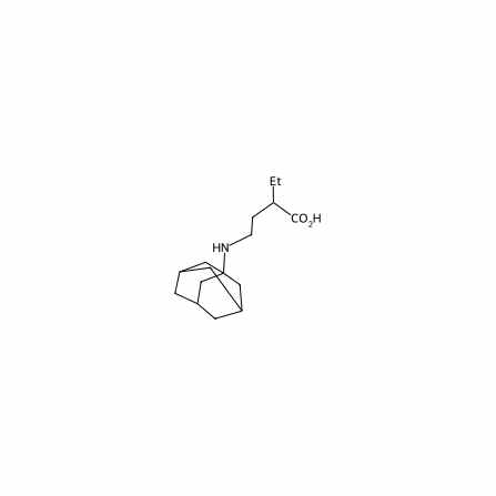 CCC(CCNC12CC3CC(CC(C3)C1)C2)C(=O)O